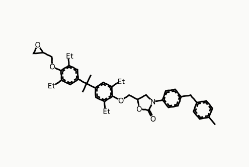 CCc1cc(C(C)(C)c2cc(CC)c(OCC3CN(c4ccc(Cc5ccc(C)cc5)cc4)C(=O)O3)c(CC)c2)cc(CC)c1OCC1CO1